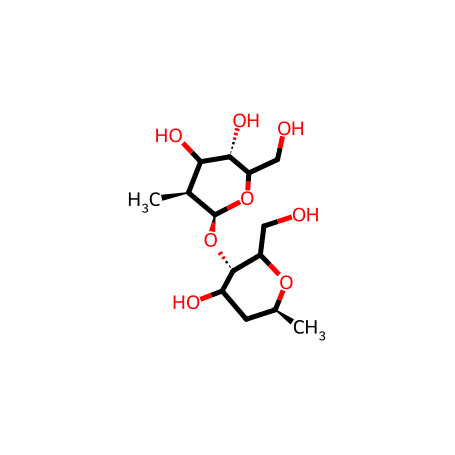 C[C@H]1CC(O)[C@H](O[C@@H]2OC(CO)[C@@H](O)C(O)[C@@H]2C)C(CO)O1